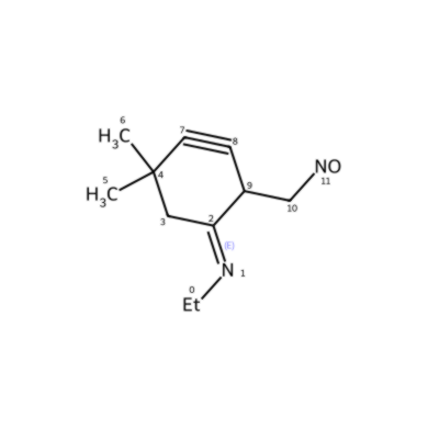 CC/N=C1\CC(C)(C)C#CC1CN=O